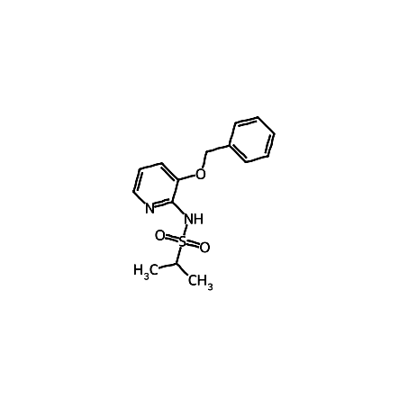 CC(C)S(=O)(=O)Nc1ncccc1OCc1ccccc1